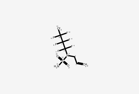 C=CCN(C(F)(F)C(F)(F)C(F)(F)C(F)(F)F)S(N)(=O)=O